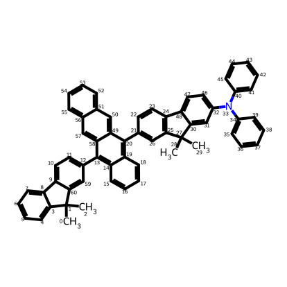 CC1(C)c2ccccc2-c2ccc(-c3c4ccccc4c(-c4ccc5c(c4)C(C)(C)c4cc(N(c6ccccc6)c6ccccc6)ccc4-5)c4cc5ccccc5cc34)cc21